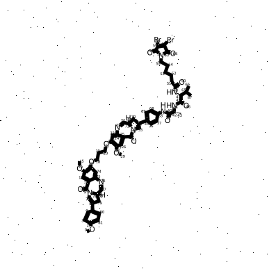 COc1ccc(C2=CN3C(=O)c4cc(OC)c(OCCCOc5cc6c(cc5OC)C(=O)N5C=C(c7ccc(NC(=O)[C@@H](C)NC(=O)[C@H](NC(=O)CCCCCN8C(=O)C(Br)=C(Br)C8=O)C(C)C)cc7)C[C@H]5C=N6)cc4N=C[C@@H]3C2)cc1